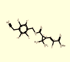 C#CCc1c(F)c(F)c(COC(=O)C2C(C=C(F)C(=O)OC)C2(C)C)c(F)c1F